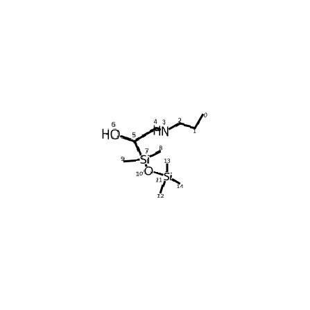 CCCNCC(O)[Si](C)(C)O[Si](C)(C)C